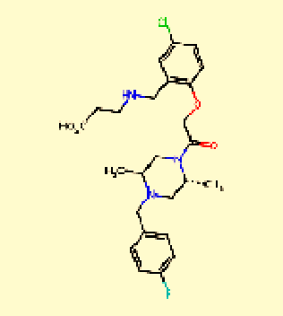 C[C@@H]1CN(Cc2ccc(F)cc2)[C@@H](C)CN1C(=O)COc1ccc(Cl)cc1CNCCC(=O)O